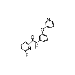 O=C(Nc1cccc(Oc2cccnc2)c1)c1cccc(F)n1